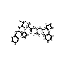 CN(C)C(CC(Oc1ccccc1)c1ccco1)OC(=O)C(=O)OC(CC(Oc1ccccc1)c1ccco1)N(C)C